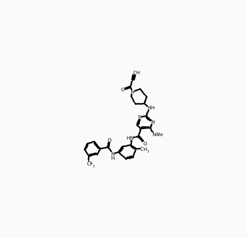 C#CC(=O)N1CCC(Nc2ncc(C(=O)Nc3cc(NC(=O)c4cccc(C(F)(F)F)c4)ccc3C)c(NC)n2)CC1